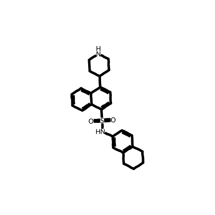 O=S(=O)(Nc1ccc2c(c1)CCCC2)c1ccc(C2CCNCC2)c2ccccc12